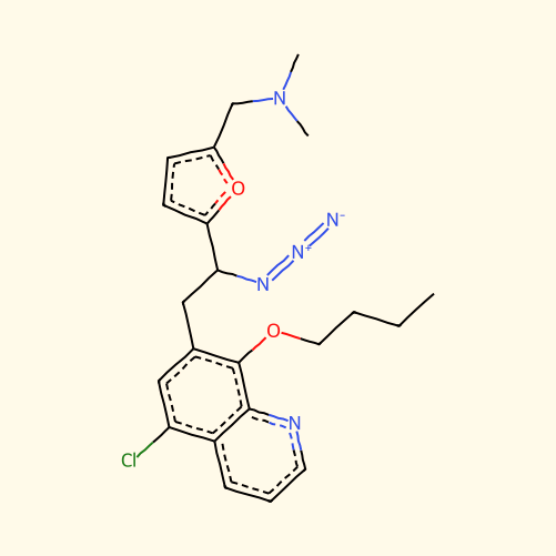 CCCCOc1c(CC(N=[N+]=[N-])c2ccc(CN(C)C)o2)cc(Cl)c2cccnc12